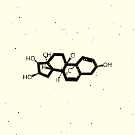 C[C@]12CC[C@@]3(Cl)[C@@H](C=CC4C[C@H](O)C=C[C@@]43C)[C@@H]1C[C@@H](O)[C@@H]2O